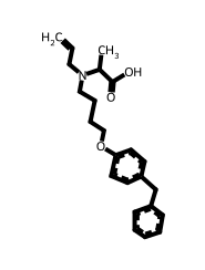 C=CCN(CCCCOc1ccc(Cc2ccccc2)cc1)C(C)C(=O)O